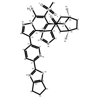 CS(=O)(=O)c1c([C@H]2C[C@H]3CC[C@@H](C2)N3C(=O)c2cnn[nH]2)nc2c(-c3ccc(-c4nc5c(s4)CCC5)nc3)cnn2c1N